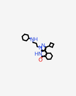 O=c1[nH]c2c(c(C3CCC3)nn2CCCNC2CCCCC2)c2c1CCCC2